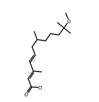 COC(C)(C)CCCC(C)C/C=C/C(C)=C/C(=O)Cl